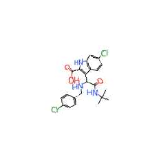 CC(C)(C)NC(=O)C(NCc1ccc(Cl)cc1)c1c(C(=O)O)[nH]c2cc(Cl)ccc12